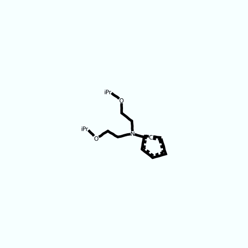 CC(C)OCCN(CCOC(C)C)c1ccccc1